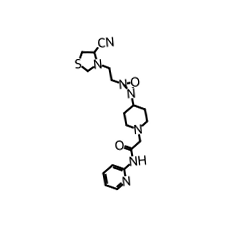 N#CC1CSCN1CCn1on1C1CCN(CC(=O)Nc2ccccn2)CC1